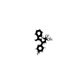 Cc1c2n(c3ccccc13)C(O)(C(F)(F)F)C=C2c1ccc(F)cc1